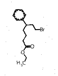 CCOC(=O)CCCC(CCBr)c1ccccc1